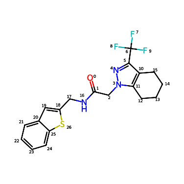 O=C(Cn1nc(C(F)(F)F)c2c1CCCC2)NCc1cc2ccccc2s1